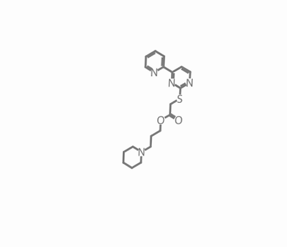 O=C(CSc1nccc(-c2ccccn2)n1)OCCCN1CCCCC1